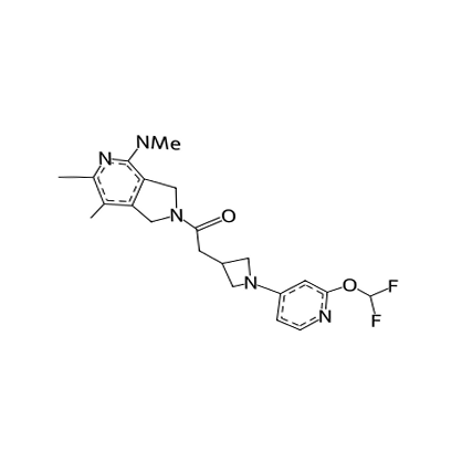 CNc1nc(C)c(C)c2c1CN(C(=O)CC1CN(c3ccnc(OC(F)F)c3)C1)C2